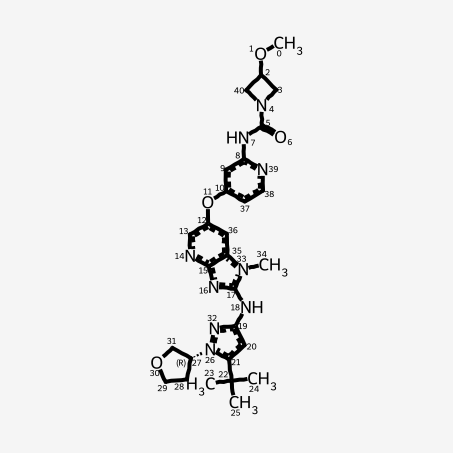 COC1CN(C(=O)Nc2cc(Oc3cnc4nc(Nc5cc(C(C)(C)C)n([C@@H]6CCOC6)n5)n(C)c4c3)ccn2)C1